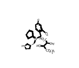 Clc1ccc(CN(C[C@@H]2CCNC2)C2CCCC2)c(Cl)c1.O=C(O)C(O)C(O)C(=O)O